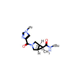 CC(C)n1cnc(C(=O)N2C[C@@H]3[C@H](C2)[C@]3(C)C(=O)NC(C)(C)C)c1